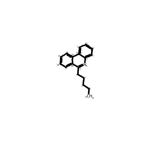 CCC[CH]Cc1nc2ccccc2c2ccccc12